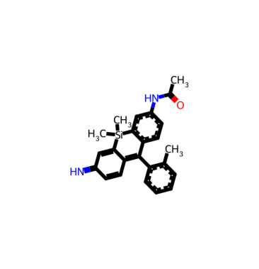 CC(=O)Nc1ccc2c(c1)[Si](C)(C)C1=CC(=N)C=CC1=C2c1ccccc1C